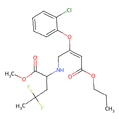 CCCOC(=O)C=C(CNC(CC(C)(F)F)C(=O)OC)Oc1ccccc1Cl